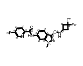 Cn1nc(ONC2CC(F)(F)C2)c2ccc(NC(=O)c3ccc(F)cn3)cc21